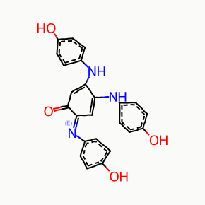 O=C1C=C(Nc2ccc(O)cc2)C(Nc2ccc(O)cc2)=C/C1=N\c1ccc(O)cc1